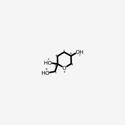 OCC1(O)CCC(O)CO1